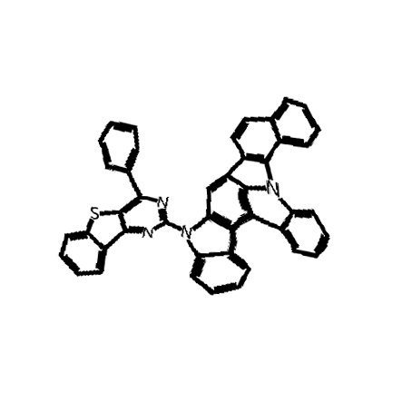 c1ccc(-c2nc(-n3c4ccccc4c4c5c6ccccc6n6c7c8ccccc8ccc7c(cc43)c56)nc3c2sc2ccccc23)cc1